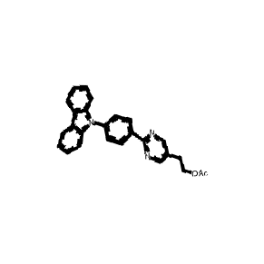 CC(=O)OCCc1cnc(-c2ccc(-n3c4ccccc4c4ccccc43)cc2)nc1